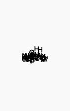 CC1(C)S[C@@H]2C(NC(=O)Nc3ccccc3)C(=O)N2C1c1nnn[nH]1